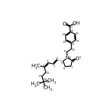 CC(=CC=C[C@H]1CCC(=O)N1CCc1ccc(C(=O)O)cc1)CCC(C)(C)C